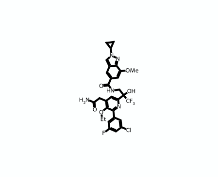 CCOc1c(CC(N)=O)cc(C(O)(CNC(=O)c2cc(OC)c3nn(C4CC4)cc3c2)C(F)(F)F)nc1-c1cc(F)cc(Cl)c1